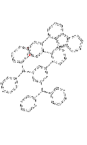 c1ccc(N(c2ccccc2)c2cc(-c3ccccc3-c3ccccc3-c3cccc4c3oc3ccccc34)cc(N(c3ccccc3)c3ccccc3)c2)cc1